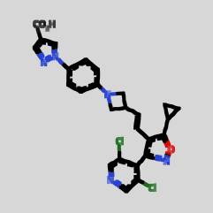 O=C(O)c1cnn(-c2ccc(N3CC(C=Cc4c(-c5c(Cl)cncc5Cl)noc4C4CC4)C3)cc2)c1